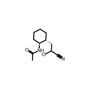 CC(=O)N[C@H]1CCCC[C@@H]1CC(Cl)C#N